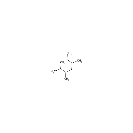 CC/C(C)=C\C(C)C(C)C